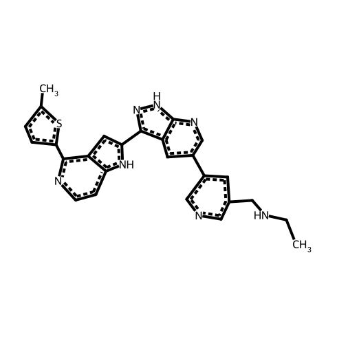 CCNCc1cncc(-c2cnc3[nH]nc(-c4cc5c(-c6ccc(C)s6)nccc5[nH]4)c3c2)c1